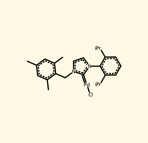 Cc1cc(C)c(Cn2ccn(-c3c(C(C)C)cccc3C(C)C)[c]2=[Pd][Cl])c(C)c1